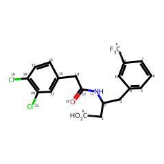 O=C(O)CC(Cc1cccc(C(F)(F)F)c1)NC(=O)Cc1ccc(Cl)c(Cl)c1